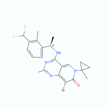 Cc1nc(N[C@H](C)c2cccc(C(F)F)c2C)c2cn(C3(C)CC3)c(=O)c(Br)c2n1